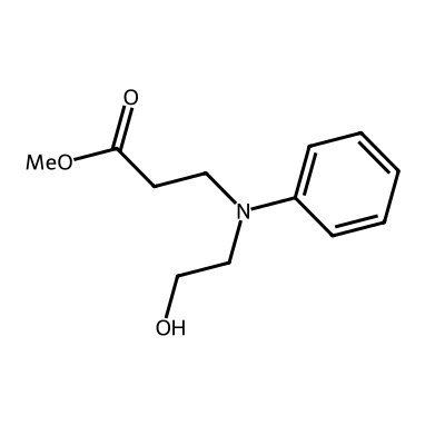 COC(=O)CCN(CCO)c1ccccc1